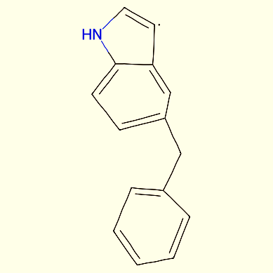 [c]1c[nH]c2ccc(Cc3ccccc3)cc12